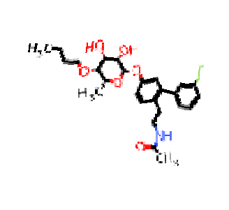 CCCCO[C@@H]1[C@@H](O)[C@@H](O)[C@H](Oc2ccc(CCNC(C)=O)c(-c3cccc(F)c3)c2)O[C@H]1C